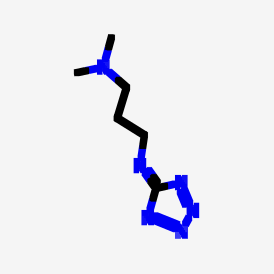 CN(C)CCCN=C1N=NN=N1